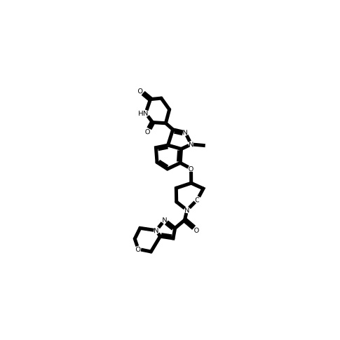 Cn1nc(C2CCC(=O)NC2=O)c2cccc(OC3CCN(C(=O)c4cc5n(n4)CCOC5)CC3)c21